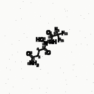 NC(=O)CCC(=O)N(O)NC(=O)C(F)(F)F